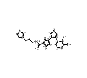 O=C(NCCCn1ccnc1)c1nc(-c2cnoc2-c2cccc(F)c2F)c[nH]1